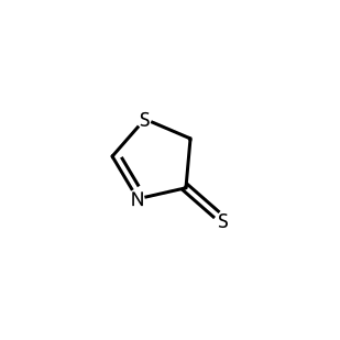 S=C1CSC=N1